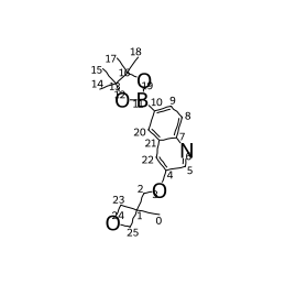 CC1(COc2cnc3ccc(B4OC(C)(C)C(C)(C)O4)cc3c2)COC1